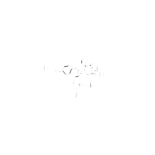 COc1ccc(CN(C(=O)OC(C)(C)C)[C@@H]2CC(C)(C)NC(C)(C)[C@@H]2F)cc1